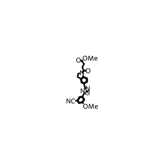 COC(=O)CCC(=O)N1CCc2cc(-c3noc(-c4cc(C#N)cc(OC)c4)n3)ccc21